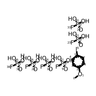 COc1ccc(I)cc1.O=P(O)(O)F.O=P(O)(O)F.O=P(O)(O)F.O=P(O)(O)F.O=P(O)(O)F.O=P(O)(O)F